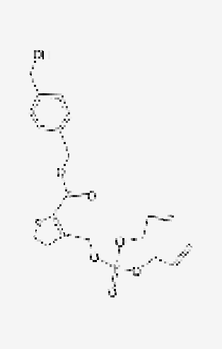 C=CCOP(=O)(OCC=C)OCC1=C(C(=O)OCc2ccc(CO)cc2)SCC1